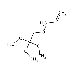 C=C[SiH2]OCC(OC)(OC)OC